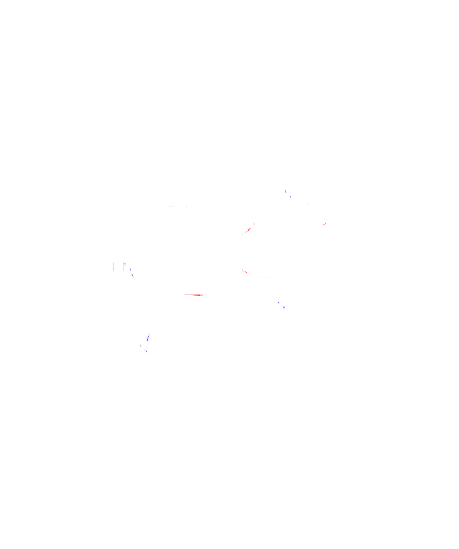 NC[C@@H]1C[C@H](O[C@H]2[C@@H](O)[C@H](O[C@@H]3C[C@H](N)C[C@H](N)C3)O[C@@H]2CO)[C@H](N)[C@@H](O)[C@@H]1O